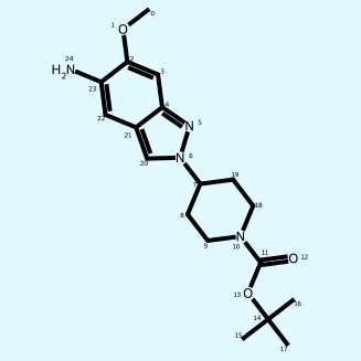 COc1cc2nn(C3CCN(C(=O)OC(C)(C)C)CC3)cc2cc1N